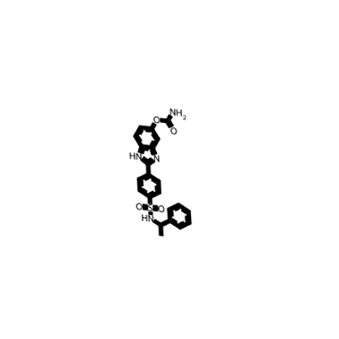 CC(NS(=O)(=O)c1ccc(-c2nc3cc(OC(N)=O)ccc3[nH]2)cc1)c1ccccc1